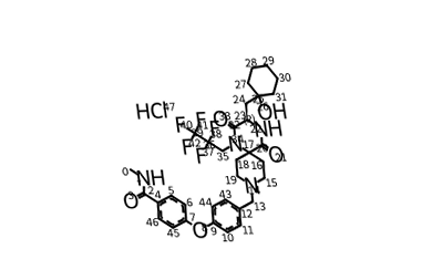 CNC(=O)c1ccc(Oc2ccc(CN3CCC4(CC3)C(=O)N[C@H](CC3(O)CCCCC3)C(=O)N4CC(F)(F)C(F)(F)F)cc2)cc1.Cl